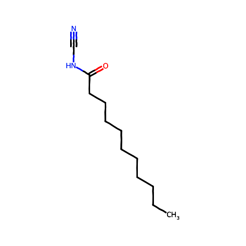 CCCCCCCCCCC(=O)NC#N